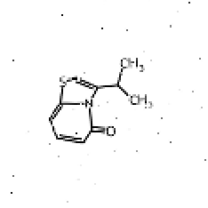 CC(C)c1csc2cccc(=O)n12